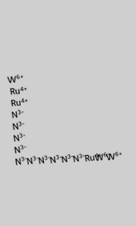 [N-3].[N-3].[N-3].[N-3].[N-3].[N-3].[N-3].[N-3].[N-3].[N-3].[Ru+4].[Ru+4].[Ru+4].[W+6].[W+6].[W+6]